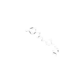 O=C(CNC1CCC(OC2CC=C(C(F)(F)F)C=N2)CC1)NC1=CC=C(Cl)C(C(F)(F)F)=CC1